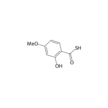 COc1ccc(C(=O)S)c(O)c1